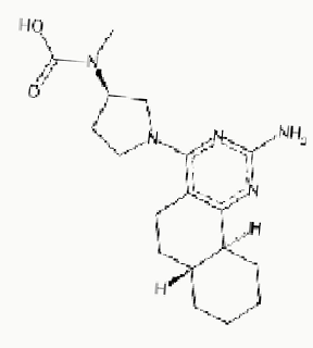 CN(C(=O)O)[C@@H]1CCN(c2nc(N)nc3c2CC[C@H]2CCCC[C@H]32)C1